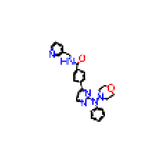 O=C(NCc1cccnc1)c1ccc(-c2ccnc(N(c3ccccc3)N3CCOCC3)n2)cc1